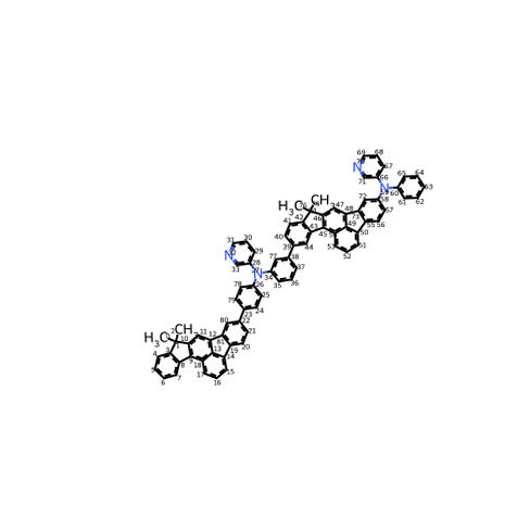 CC1(C)c2ccccc2-c2c1cc1c3c(cccc23)-c2ccc(-c3ccc(N(c4cccnc4)c4cccc(-c5ccc6c(c5)-c5c(cc7c8c(cccc58)-c5ccc(N(c8ccccc8)c8cccnc8)cc5-7)C6(C)C)c4)cc3)cc2-1